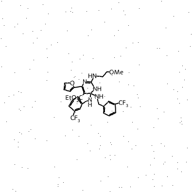 CCOC(=O)C1=C(c2ccco2)N=C(NCCOC)NC1(NCc1cccc(C(F)(F)F)c1)Nc1cccc(C(F)(F)F)c1